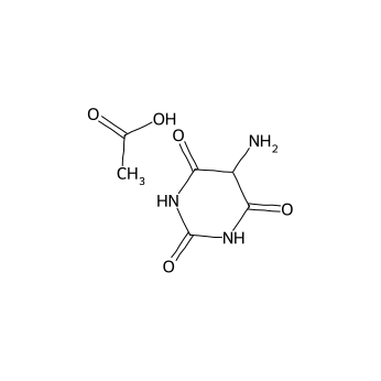 CC(=O)O.NC1C(=O)NC(=O)NC1=O